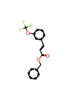 O=C(/C=C/c1cccc(OC(F)(F)F)c1)OCc1ccccc1